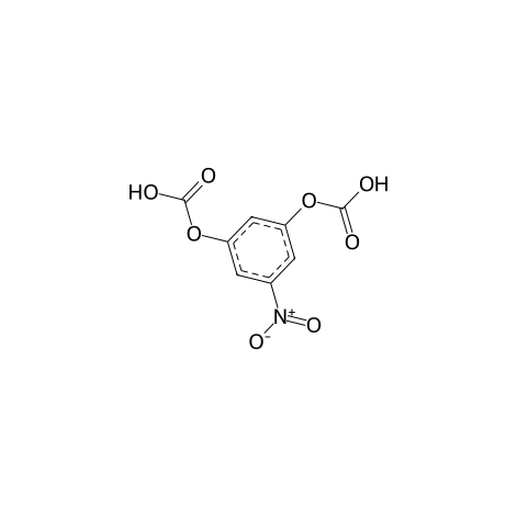 O=C(O)Oc1cc(OC(=O)O)cc([N+](=O)[O-])c1